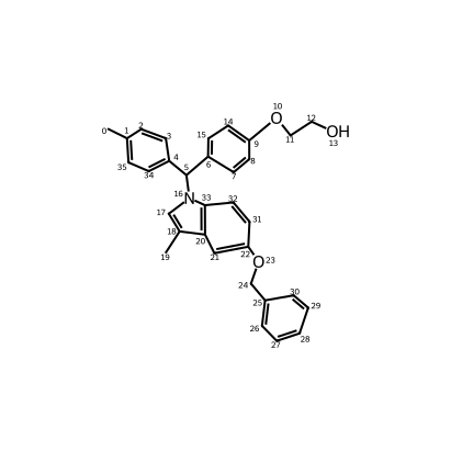 Cc1ccc(C(c2ccc(OCCO)cc2)n2cc(C)c3cc(OCc4ccccc4)ccc32)cc1